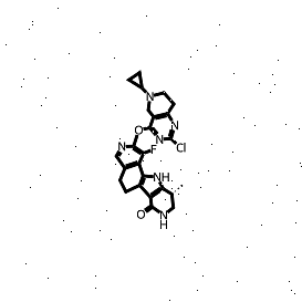 C[C@@H]1CNC(=O)c2c1[nH]c1c2CCc2cnc(Oc3nc(Cl)nc4c3CN(C3CC3)CC4)c(F)c2-1